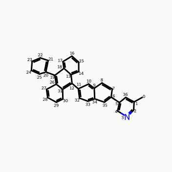 Cc1cncc(-c2ccc3cc(-c4c5ccccc5c(-c5ccccc5)c5ccccc45)ccc3c2)c1